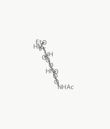 CCC(=O)[C@H](CCCCNC(=O)COCCOCCNC(=O)COCCOCCNC(C)=O)NC(C)C